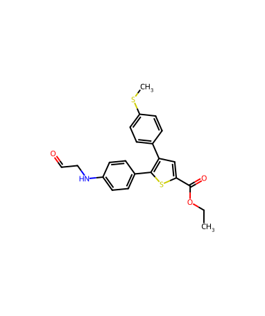 CCOC(=O)c1cc(-c2ccc(SC)cc2)c(-c2ccc(NCC=O)cc2)s1